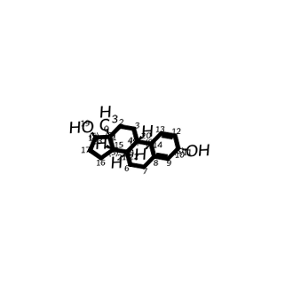 C[C@]12CC[C@H]3[C@@H](CCC4=C[C@@H](O)C=C[C@@H]43)[C@@H]1CC[C@@H]2O